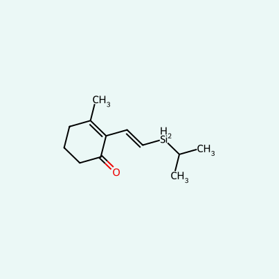 CC1=C(C=C[SiH2]C(C)C)C(=O)CCC1